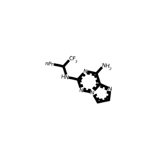 CCCC(Nc1nc(N)c2nccn2n1)C(F)(F)F